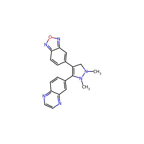 CN1CC(c2ccc3nonc3c2)=C(c2ccc3nccnc3c2)N1C